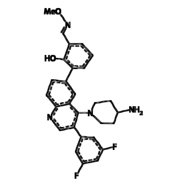 CO/N=C/c1cccc(-c2ccc3ncc(-c4cc(F)cc(F)c4)c(N4CCC(N)CC4)c3c2)c1O